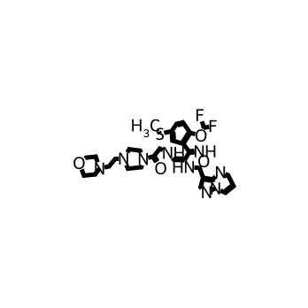 CSc1ccc(OC(F)F)c(C(=N)/C(=C\NCC(=O)N2CCN(CCN3CCOCC3)CC2)NC(=O)c2cnn3cccnc23)c1